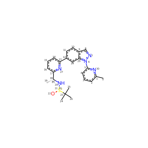 Cc1cccc(-n2ncc3ccc(-c4cccc([C@@H](C)N[S@+]([O-])C(C)(C)C)n4)cc32)n1